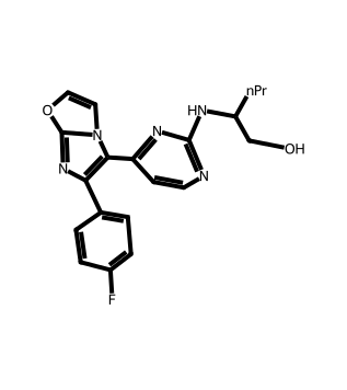 CCCC(CO)Nc1nccc(-c2c(-c3ccc(F)cc3)nc3occn23)n1